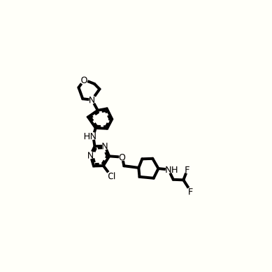 FC(F)CNC1CCC(COc2nc(Nc3cccc(N4CCOCC4)c3)ncc2Cl)CC1